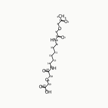 CC(=O)COCC(=O)NCCCCCCNC(=O)COCC(=O)O